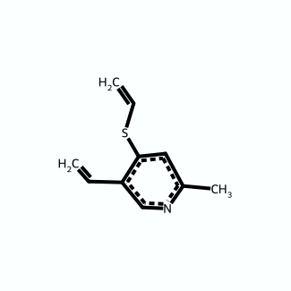 C=CSc1cc(C)ncc1C=C